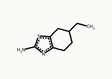 CCC1CCc2nc(N)sc2C1